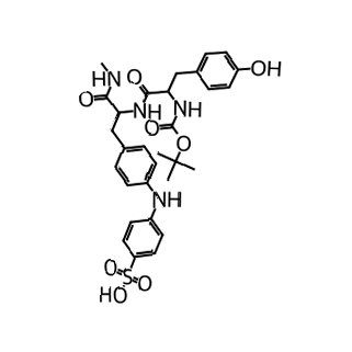 CNC(=O)C(Cc1ccc(Nc2ccc(S(=O)(=O)O)cc2)cc1)NC(=O)C(Cc1ccc(O)cc1)NC(=O)OC(C)(C)C